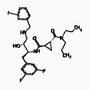 CCCN(CCC)C(=O)[C@@H]1C[C@H]1C(=O)N[C@@H](Cc1cc(F)cc(F)c1)[C@H](O)CNCc1cccc(I)c1